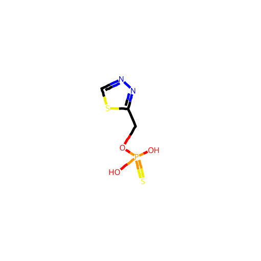 OP(O)(=S)OCc1nncs1